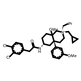 COc1cccc([C@]23CC[N@+](CC(C)C)(CC4CC4)CC2(OC)CC[C@@H](NC(=O)Cc2ccc(Cl)c(Cl)c2)C3)c1